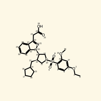 CCOc1ccc(S(=O)(=O)N2C[C@@H](CC3CCCC3)[C@@H](n3nc(CC(=O)O)c4ccccc43)C2)c(OC)c1